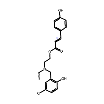 CCN(CCOC(=O)/C=C/c1ccc(O)cc1)Cc1cc(Cl)ccc1O